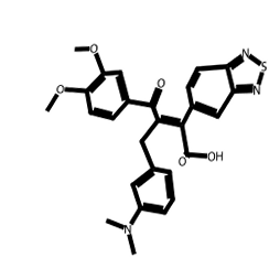 COc1ccc(C(=O)/C(Cc2cccc(N(C)C)c2)=C(/C(=O)O)c2ccc3nsnc3c2)cc1OC